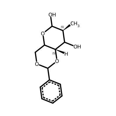 C[C@@H]1C(O)OC2COC(c3ccccc3)O[C@H]2C1O